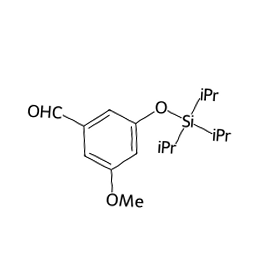 COc1cc(C=O)cc(O[Si](C(C)C)(C(C)C)C(C)C)c1